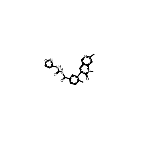 Cc1cc2c(cn1)cc(-c1cc(C(=O)NC(=O)Nc3ccon3)ccc1C)c(=O)n2C